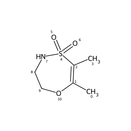 CC1=C(C)S(=O)(=O)NCCO1